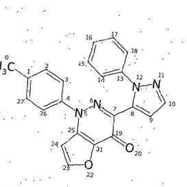 Cc1ccc(-n2nc(-c3ccnn3-c3ccccc3)c(=O)c3occc32)cc1